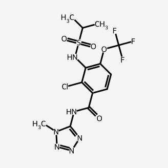 CC(C)S(=O)(=O)Nc1c(OC(F)(F)F)ccc(C(=O)Nc2nnnn2C)c1Cl